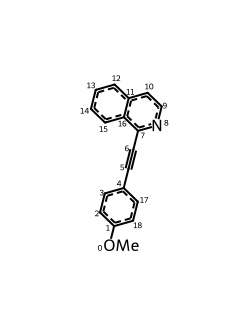 COc1ccc(C#Cc2nccc3ccccc23)cc1